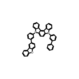 c1ccc(-c2cccc(-n3c4ccccc4c4c5c6ccccc6n(-c6cccc(-c7ccc8oc9ccccc9c8c7)c6)c5ccc43)c2)cc1